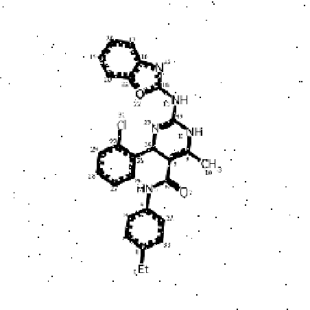 CCc1ccc(NC(=O)C2=C(C)NC(Nc3nc4ccccc4o3)=NC2c2ccccc2Cl)cc1